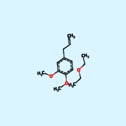 C=CCc1ccc(OC)c(OC)c1.CCOCC